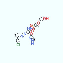 Cc1cc(S(=O)(=O)NC(=O)c2ccc(N3CCN(CC4=C(c5ccc(Cl)cc5)CC(C)(C)CC4)CC3)cc2Oc2cnc3[nH]ccc3c2)ccc1OC[C@H]1CC[C@](C)(O)CC1